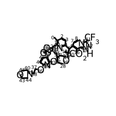 Cc1ccc(C(c2ccn3c(C(F)(F)F)nnc3c2C)C(C)(C)C(=O)O)nc1CN1CC2(CCOCC2)Oc2nc(OCCN3CCOCC3)ccc2S1(=O)=O